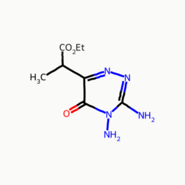 CCOC(=O)C(C)c1nnc(N)n(N)c1=O